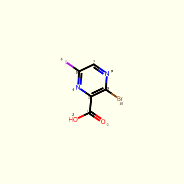 O=C(O)c1nc(I)cnc1Br